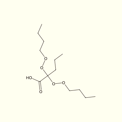 CCCCOOC(CCC)(OOCCCC)C(=O)O